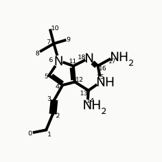 CCC#Cc1cn(C(C)(C)C)c2c1C(N)NC(N)=N2